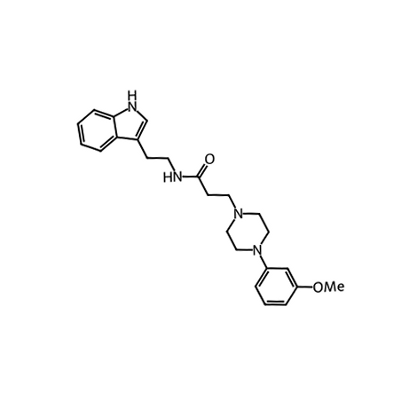 COc1cccc(N2CCN(CCC(=O)NCCc3c[nH]c4ccccc34)CC2)c1